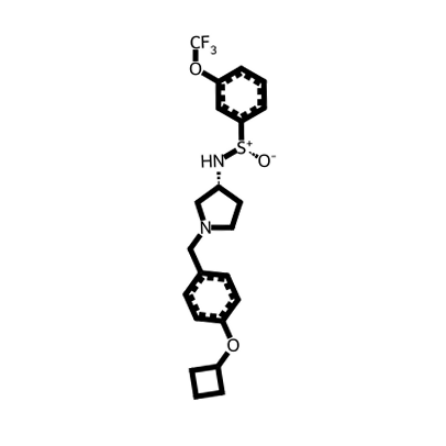 [O-][S@+](N[C@@H]1CCN(Cc2ccc(OC3CCC3)cc2)C1)c1cccc(OC(F)(F)F)c1